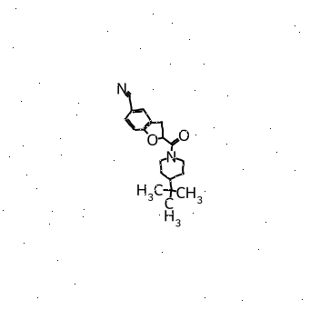 CC(C)(C)C1CCN(C(=O)C2Cc3cc(C#N)ccc3O2)CC1